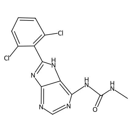 CNC(=O)Nc1ncnc2nc(-c3c(Cl)cccc3Cl)[nH]c12